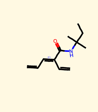 C=C/C=C(\C=C)C(=O)NC(C)(C)CC